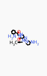 CC#CCn1c(N2CCCC(N)C2)nc2cnn(CC(=O)c3ccccc3N)c(=O)c21